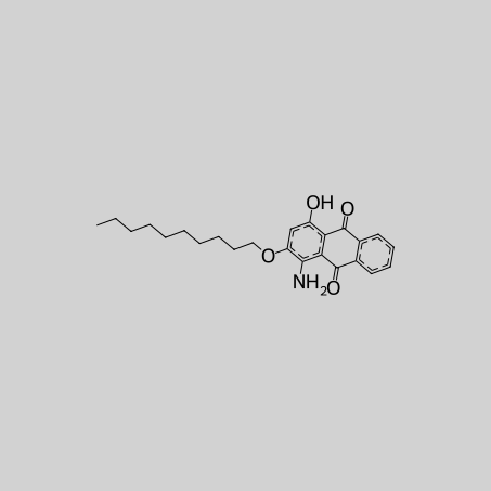 CCCCCCCCCCOc1cc(O)c2c(c1N)C(=O)c1ccccc1C2=O